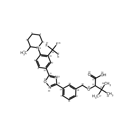 CC1CCCCN1c1ccc(-c2nc(-c3cccc(COC(C(=O)O)C(C)(C)C)c3)no2)cc1C(F)(F)F